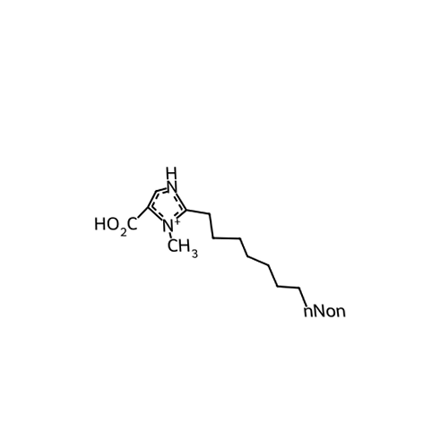 CCCCCCCCCCCCCCCCc1[nH]cc(C(=O)O)[n+]1C